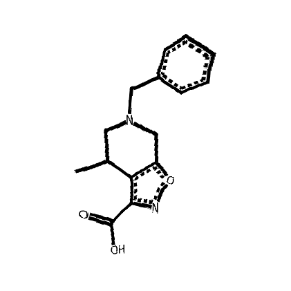 CC1CN(Cc2ccccc2)Cc2onc(C(=O)O)c21